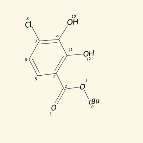 CC(C)(C)OC(=O)c1ccc(Cl)c(O)c1O